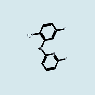 Nc1ccc(F)cc1Nc1cccc(F)n1